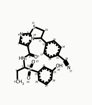 CCC(NC(=O)c1cnc2n1C(c1ccc(C#N)cc1)CS2)S(=O)(=O)c1cccc(O)c1